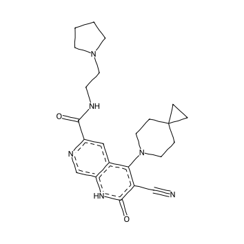 N#Cc1c(N2CCC3(CC2)CC3)c2cc(C(=O)NCCN3CCCC3)ncc2[nH]c1=O